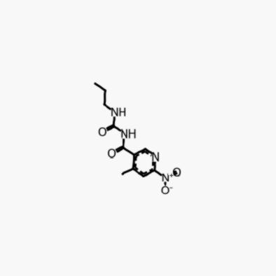 CCCNC(=O)NC(=O)c1cnc([N+](=O)[O-])cc1C